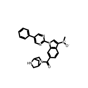 C[S+]([O-])c1cn(-c2ncc(-c3ccccc3)cn2)c2cc(C(=O)N3CC4CC3CN4)ccc12